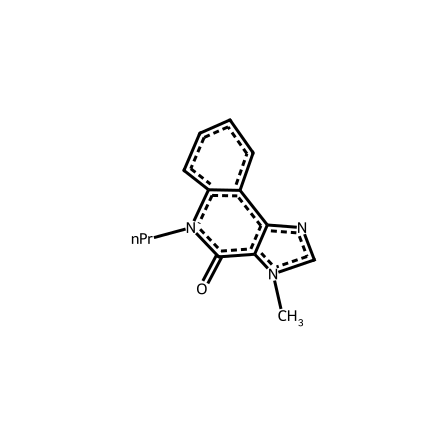 CCCn1c(=O)c2c(ncn2C)c2ccccc21